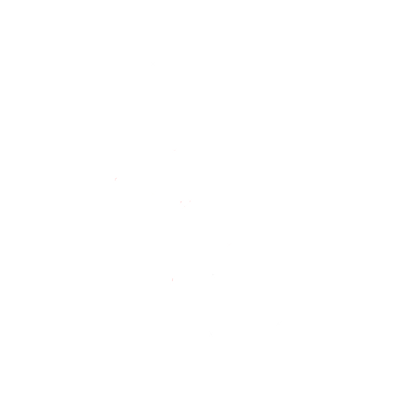 O=C(OCCC(Cc1ccccc1)OS(=O)(=O)c1ccccc1)c1ccccc1